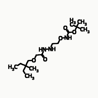 CCC(C)(CC)COCC(=O)NNCCONC(=O)OC(C)(C)C